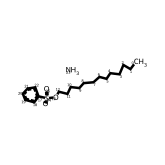 CCCCCCCCCCCCCOS(=O)(=O)c1ccccc1.N